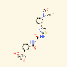 C[C@@H]1CN(c2cccc(-c3csc(NC(=O)CNC(=O)c4cccc([C@H]5COC[C@@H]5O)c4)n3)c2)C[C@H](C)O1